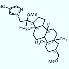 COC[C@H]1CC[C@]2(C)C3CC[C@@]4(C)C(CC[C@@H]4C(C)(Cn4cc(C#N)cn4)OC)[C@@H]3CC[C@]2(C)C1